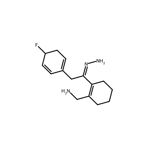 NCC1=C(/C(CC2=CCC(F)C=C2)=N\N)CCCC1